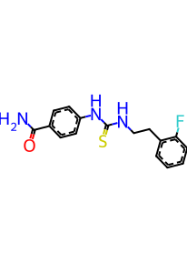 NC(=O)c1ccc(NC(=S)NCCc2ccccc2F)cc1